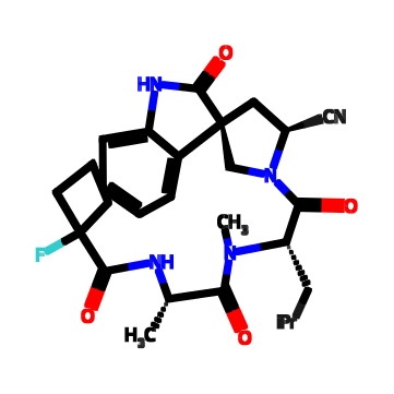 CC(C)C[C@@H](C(=O)N1C[C@]2(C[C@H]1C#N)C(=O)Nc1ccccc12)N(C)C(=O)[C@H](C)NC(=O)C1(F)CCC1